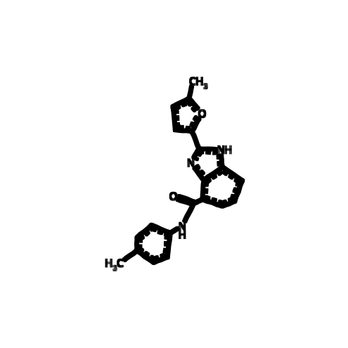 Cc1ccc(NC(=O)c2cccc3[nH]c(-c4ccc(C)o4)nc23)cc1